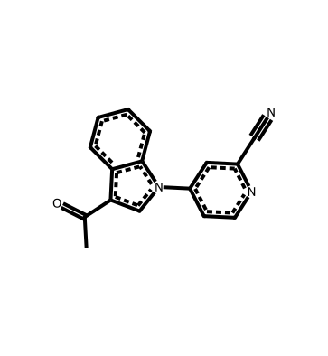 CC(=O)c1cn(-c2ccnc(C#N)c2)c2ccccc12